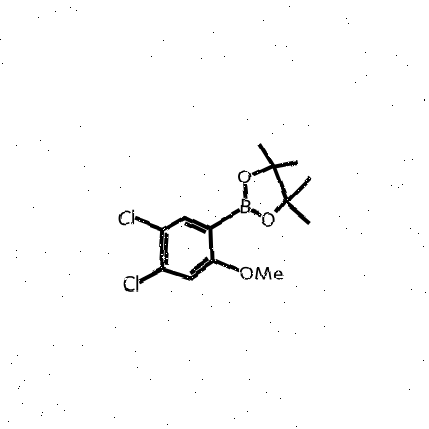 COc1cc(Cl)c(Cl)cc1B1OC(C)(C)C(C)(C)O1